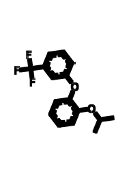 CC(C)Oc1ccccc1Oc1[c]ccc(C(F)(F)F)c1